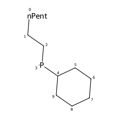 CCCCCCC[P]C1CCCCC1